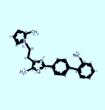 Cc1oc(-c2ccc(-c3ccccc3C#N)cc2)nc1CCn1cccc1C